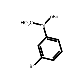 CCCCN(C(=O)O)c1cccc(Br)c1